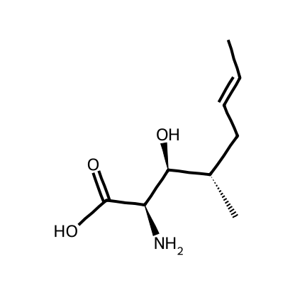 C/C=C/C[C@H](C)[C@H](O)[C@@H](N)C(=O)O